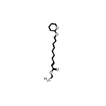 CCOC(=O)C=CCCCCCCCOC1CCCCO1